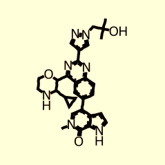 Cn1cc(-c2ccc3nc(-c4cnn(CC(C)(C)O)c4)nc(C4OCCNC4C4CC4)c3c2)c2cc[nH]c2c1=O